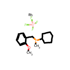 COc1ccccc1CP(C)C1CCCCC1.F[B-](F)(F)F.[Rh]